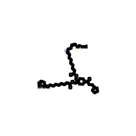 CCCCC/C=C\C/C=C\CCCCCCCC(=O)OCC1(COC(=O)CCCCCCC/C=C\C/C=C\CCCCC)CCN(C(=O)CCN2CCCC2)CC1